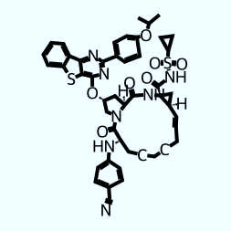 CC(C)Oc1ccc(-c2nc(O[C@@H]3C[C@H]4C(=O)N[C@]5(C(=O)NS(=O)(=O)C6CC6)C[C@H]5/C=C\CCCCC[C@H](Nc5ccc(C#N)cc5)C(=O)N4C3)c3sc4ccccc4c3n2)cc1